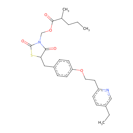 CCCC(C)C(=O)OCN1C(=O)SC(Cc2ccc(OCCc3ccc(CC)cn3)cc2)C1=O